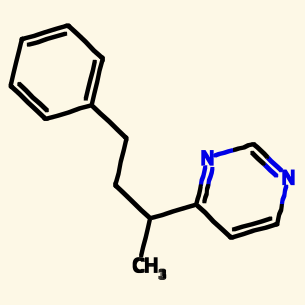 CC(CCc1ccccc1)c1ccncn1